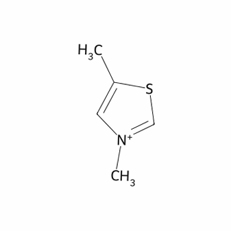 Cc1c[n+](C)cs1